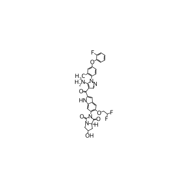 Cc1cc(Oc2ccccc2F)ccc1-n1ncc(C(=O)c2cc3cc(OCC(F)F)c(N4C(=O)[C@@H]5C[C@@H](O)CN5C4=O)cc3[nH]2)c1N